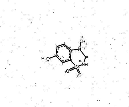 Cc1ccc2c(c1)S(=O)(=O)NCN2C